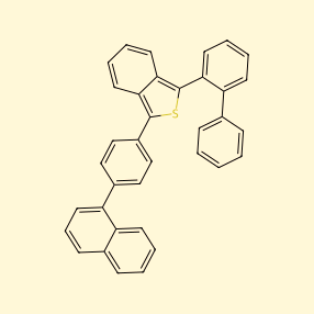 c1ccc(-c2ccccc2-c2sc(-c3ccc(-c4cccc5ccccc45)cc3)c3ccccc23)cc1